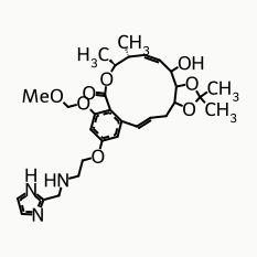 COCOc1cc(OCCNCc2ncc[nH]2)cc2c1C(=O)O[C@@H](C)[C@H](C)/C=C\C(O)C1OC(C)(C)OC1C/C=C/2